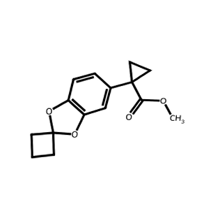 COC(=O)C1(c2ccc3c(c2)OC2(CCC2)O3)CC1